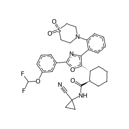 N#CC1(NC(=O)[C@@H]2CCCC[C@H]2c2oc(-c3cccc(OC(F)F)c3)nc2-c2ccccc2N2CCS(=O)(=O)CC2)CC1